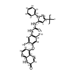 CC(C)(C)c1cc(NC(=O)Nc2cc(F)c(Oc3ccnc4[nH]c(=O)cnc34)cc2F)n(-c2ccccc2)n1